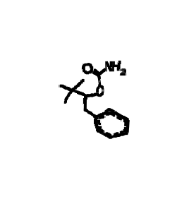 CC(C)(C)C(Cc1ccccc1)OC(N)=O